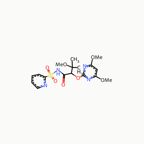 COc1cc(OC)nc(OC(C(=O)NS(=O)(=O)c2ccccn2)C(C)(C)OC)n1